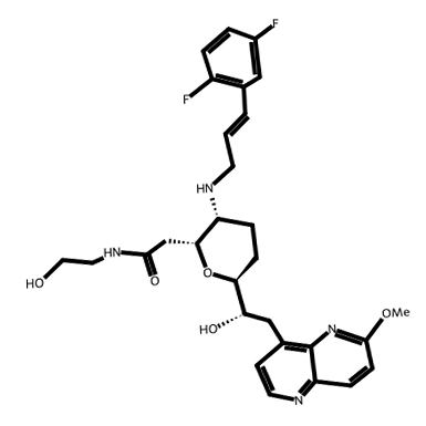 COc1ccc2nccc(C[C@H](O)[C@@H]3CC[C@@H](NC/C=C/c4cc(F)ccc4F)[C@@H](CC(=O)NCCO)O3)c2n1